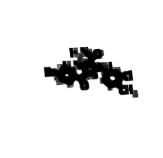 Cc1ccc(Nc2sc(C(=O)c3ccc(Br)cc3)c(N)c2C(N)=O)cc1Cl